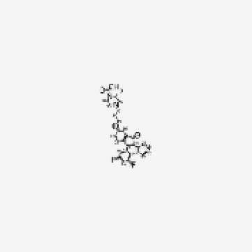 CC(=O)N1CCN(CCCOc2ccc3c(c2)C(=O)C(c2cccnc2)=C3c2cc(F)cc(F)c2)CC1